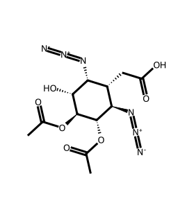 CC(=O)O[C@H]1[C@H](O)[C@H](N=[N+]=[N-])[C@H](CC(=O)O)[C@@H](N=[N+]=[N-])[C@@H]1OC(C)=O